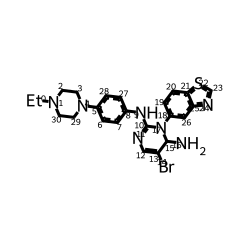 CCN1CCN(c2ccc(NC3=NC=C(Br)C(N)N3c3ccc4scnc4c3)cc2)CC1